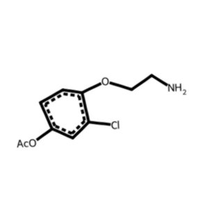 CC(=O)Oc1ccc(OCCN)c(Cl)c1